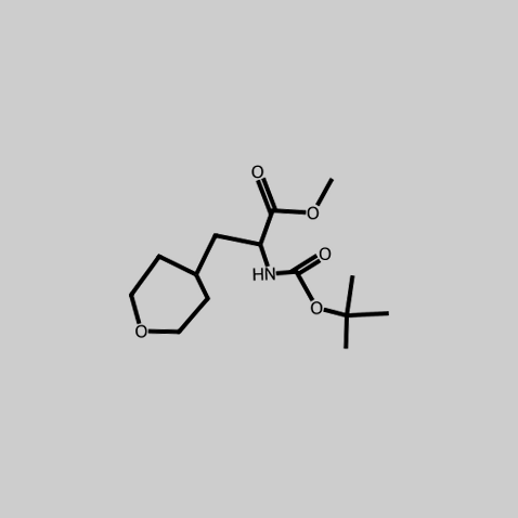 COC(=O)C(CC1CCOCC1)NC(=O)OC(C)(C)C